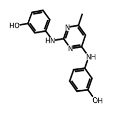 Cc1cc(Nc2cccc(O)c2)nc(Nc2cccc(O)c2)n1